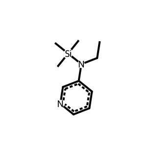 CCN(c1cccnc1)[Si](C)(C)C